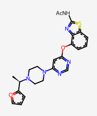 CC(=O)Nc1nc2c(Oc3cc(N4CCN([C@H](C)c5ccco5)CC4)ncn3)cccc2s1